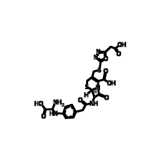 NC(Nc1ccc(CC(=O)NC2C(=O)N3C(C(=O)O)=C(CSc4nnc(CC(=O)O)o4)CS[C@@H]23)cc1)C(=O)O